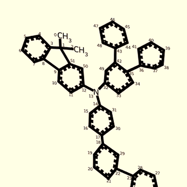 CC1(C)c2ccccc2-c2ccc(N(c3ccc(-c4cccc(-c5ccccc5)c4)cc3)c3ccc(-c4ccccc4)c(-c4ccccc4)c3)cc21